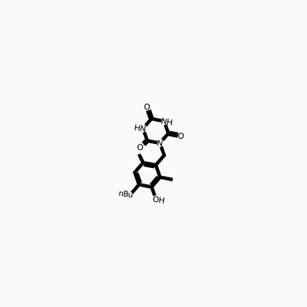 CCCCc1cc(C)c(Cn2c(=O)[nH]c(=O)[nH]c2=O)c(C)c1O